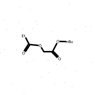 [CH2]CC(=O)OCC(=O)OCCCC